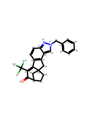 O=C1C(C(F)(F)F)=C2c3ccc4nn(Cc5ccccc5)cc4c3CC23CCC1C3